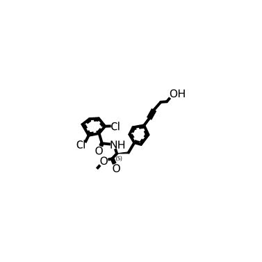 COC(=O)[C@H](Cc1ccc(C#CCCO)cc1)NC(=O)c1c(Cl)cccc1Cl